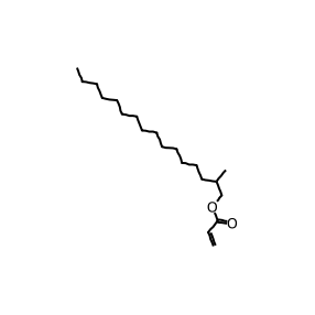 C=CC(=O)OCC(C)CCCCCCCCCCCCCC